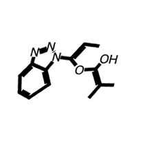 CC=C(OC(O)=C(C)C)n1nnc2ccccc21